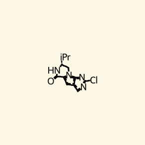 CC(C)[C@H]1Cn2c(cc3cnc(Cl)nc32)C(=O)N1